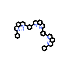 C1=CC(c2cccc(-c3ccc4ccc5ccc(-c6cccc(-c7ccc8ccc9ccc(-c%10ccccc%10)nc9c8n7)c6)nc5c4n3)c2)Nc2c1ccc1ccc(-c3ccccc3)nc21